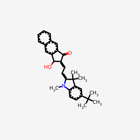 CN1/C(=C/C=C2/C(=O)c3cc4ccccc4cc3C2O)C(C)(C)c2cc(C(C)(C)C)ccc21